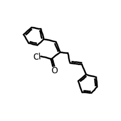 O=C(Cl)C(=Cc1ccccc1)CC=Cc1ccccc1